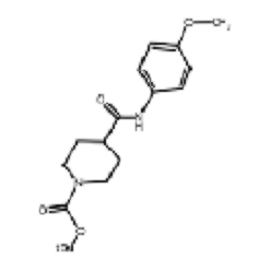 CC(C)(C)OC(=O)N1CCC(C(=O)Nc2ccc(OC(F)(F)F)cc2)CC1